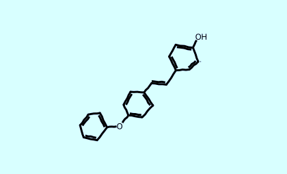 Oc1[c]cc(/C=C/c2ccc(Oc3ccccc3)cc2)cc1